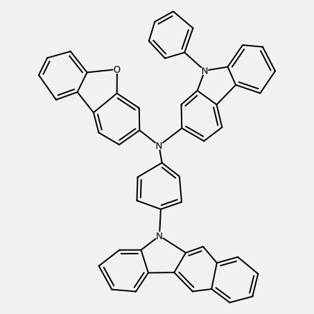 c1ccc(-n2c3ccccc3c3ccc(N(c4ccc(-n5c6ccccc6c6cc7ccccc7cc65)cc4)c4ccc5c(c4)oc4ccccc45)cc32)cc1